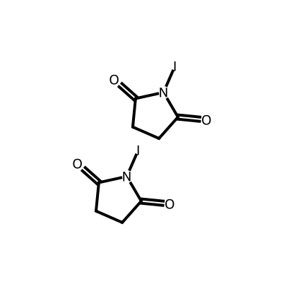 O=C1CCC(=O)N1I.O=C1CCC(=O)N1I